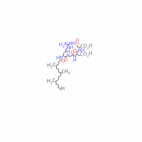 CC(C)CCCC(C)CCCC(C)CCCC(C)CCC(=O)NC(CCCNC(=N)N)C(=O)NCC(=O)NC(CC(=O)O)C(=O)NC(CO)C(=O)O